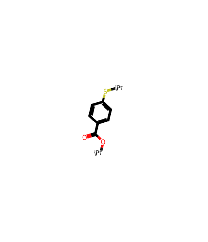 CC(C)OC(=O)c1ccc(SC(C)C)cc1